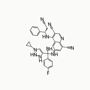 BC(Nc1cc(C#N)c2ncc(C#N)c(N[C@H](CC#N)c3ccccc3)c2c1)(C1=CN(C2CC2)NN1)c1ccc(F)cc1